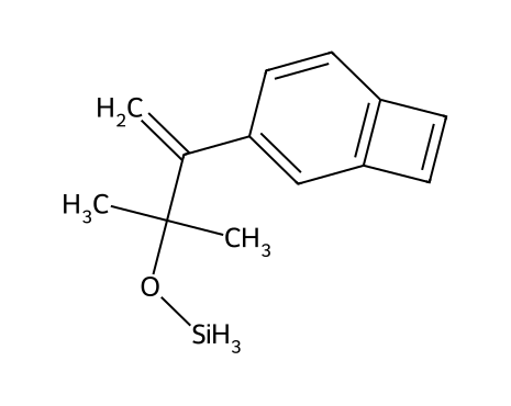 C=C(c1ccc2c(c1)C=C2)C(C)(C)O[SiH3]